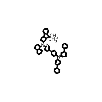 CC1(C)c2ccccc2-c2ccc(N(c3ccc(-c4ccc(N(c5ccc(-c6ccccc6)cc5)c5cccc(-c6ccccc6)c5)cc4)cn3)c3cccc4ccccc34)cc21